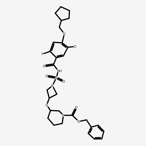 O=C(NS(=O)(=O)N1CC(OC2CCCN(C(=O)OCc3ccccc3)C2)C1)c1cc(Cl)c(OCC2CCCC2)cc1F